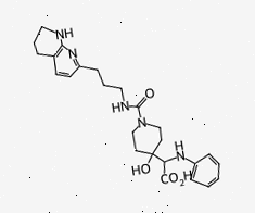 O=C(O)C(Nc1ccccc1)C1(O)CCN(C(=O)NCCCc2ccc3c(n2)NCCC3)CC1